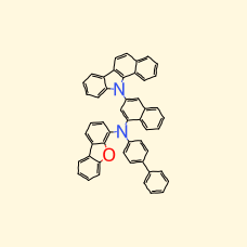 c1ccc(-c2ccc(N(c3cc(-n4c5ccccc5c5ccc6ccccc6c54)cc4ccccc34)c3cccc4c3oc3ccccc34)cc2)cc1